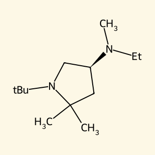 CCN(C)[C@@H]1CN(C(C)(C)C)C(C)(C)C1